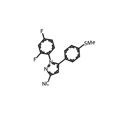 CSc1ccc(-c2cc(C#N)nn2-c2ccc(F)cc2F)cc1